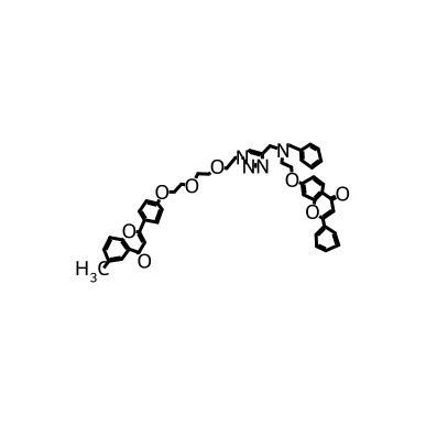 Cc1ccc2oc(-c3ccc(OCCOCCOCCn4cc(CN(CCOc5ccc6c(=O)cc(-c7ccccc7)oc6c5)Cc5ccccc5)nn4)cc3)cc(=O)c2c1